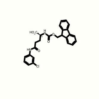 O=C(CC[C@H](NC(=O)OCC1c2ccccc2-c2ccccc21)C(=O)O)Nc1cccc(Cl)c1